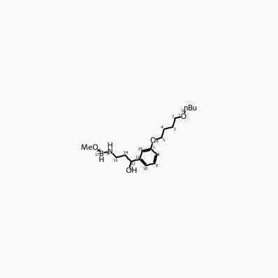 CCCCOCCCCOc1cccc(C(O)CCNBOC)c1